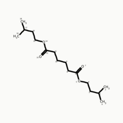 CC(C)CCOC(=O)CCCCC(=O)OCCC(C)C